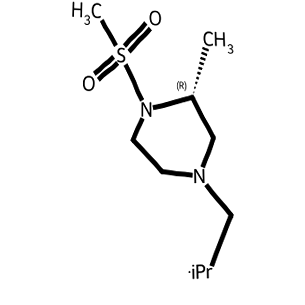 C[C](C)CN1CCN(S(C)(=O)=O)[C@H](C)C1